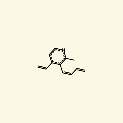 C=C/C=C\c1c(C=C)ccnc1C